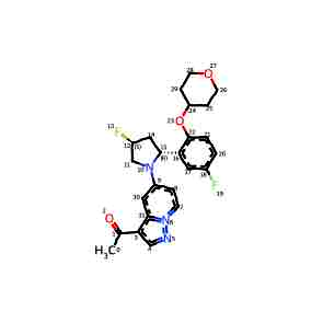 CC(=O)c1cnn2ccc(N3C[C@@H](F)C[C@@H]3c3cc(F)ccc3OC3CCOCC3)cc12